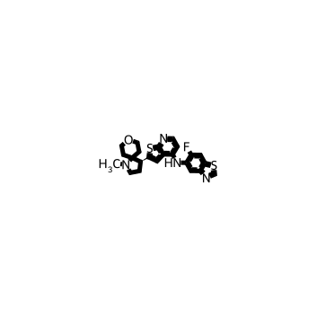 CN1CC[C@@H](c2cc3c(Nc4cc5ncsc5cc4F)ccnc3s2)C12CCOCC2